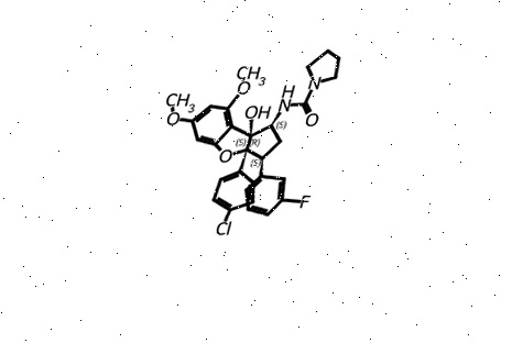 COc1cc(OC)c2c(c1)O[C@@]1(c3ccc(Cl)cc3)[C@H](c3cccc(F)c3)C[C@H](NC(=O)N3CCCC3)[C@@]21O